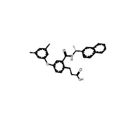 Cc1cc(C)cc(Oc2ccc(CCC(=O)O)c(C(=O)N[C@H](C)c3ccc4ccccc4c3)c2)c1